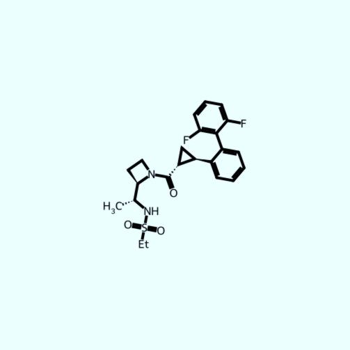 CCS(=O)(=O)N[C@H](C)[C@H]1CCN1C(=O)[C@@H]1C[C@H]1c1ccccc1-c1c(F)cccc1F